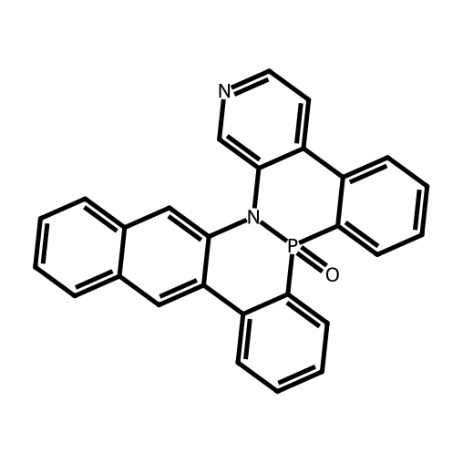 O=P12c3ccccc3-c3ccncc3N1c1cc3ccccc3cc1-c1ccccc12